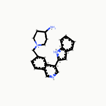 NC1CCN(Cc2ccc3cncc(-c4cc5ccccc5[nH]4)c3c2)CC1